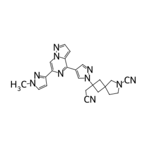 Cn1ccc(-c2cn3nccc3c(-c3cnn(C4(CC#N)CC5(CCN(C#N)C5)C4)c3)n2)n1